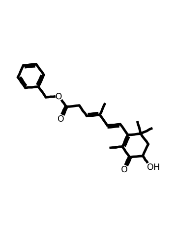 CC1=C(/C=C/C(C)=C/CC(=O)OCc2ccccc2)C(C)(C)CC(O)C1=O